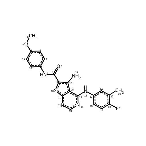 COc1ccc(NC(=O)c2sc3ncnc(Nc4ccc(F)c(C)c4)c3c2N)cc1